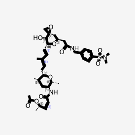 CC(=O)O[C@@H](C)/C=C\C(=O)N[C@@H]1C[C@H](C)[C@H](C/C=C(C)/C=C/[C@H]2O[C@H](CC(=O)NCc3ccc(S(=O)(=O)N(C)C)cc3)C[C@@]3(CO3)[C@@H]2O)O[C@@H]1C